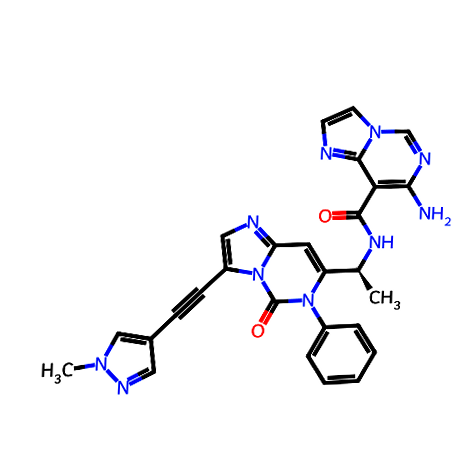 C[C@H](NC(=O)c1c(N)ncn2ccnc12)c1cc2ncc(C#Cc3cnn(C)c3)n2c(=O)n1-c1ccccc1